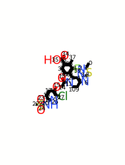 Cc1nn2c3c(nc2s1)CCN(C(=O)COc1ccc(NS(C)(=O)=O)nc1Cl)C3c1ccc(C(=O)O)c(C)c1F